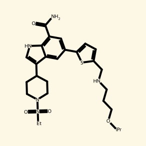 CCS(=O)(=O)N1CCC(c2c[nH]c3c(C(N)=O)cc(-c4ccc(CNCCCOC(C)C)s4)cc23)CC1